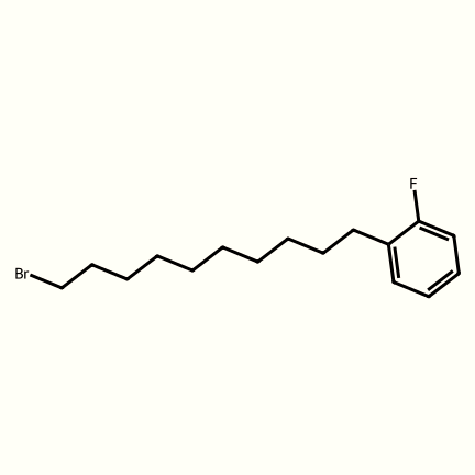 Fc1ccccc1CCCCCCCCCCBr